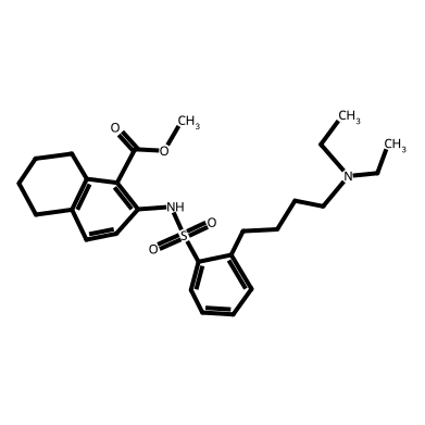 CCN(CC)CCCCc1ccccc1S(=O)(=O)Nc1ccc2c(c1C(=O)OC)CCCC2